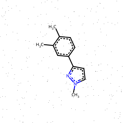 Cc1ccc(-c2c[c]n(C)n2)cc1C